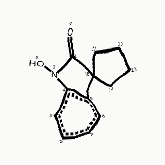 O=C1N(O)c2ccccc2C12CCCC2